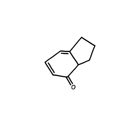 O=C1C=CC=C2CCCC12